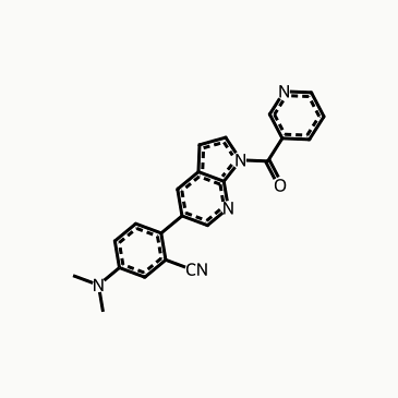 CN(C)c1ccc(-c2cnc3c(ccn3C(=O)c3cccnc3)c2)c(C#N)c1